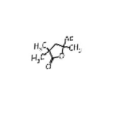 CC(=O)C1(C)CC(C)(C)C(=O)O1